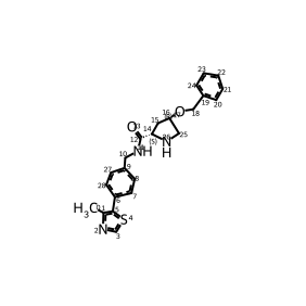 Cc1ncsc1-c1ccc(CNC(=O)[C@@H]2C[C@@H](OCc3ccccc3)CN2)cc1